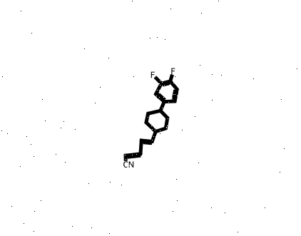 N#CC=CC=CC1CCC(c2ccc(F)c(F)c2)CC1